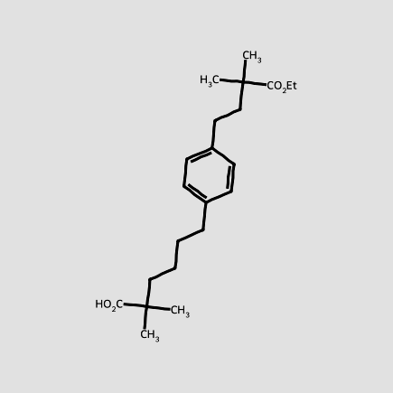 CCOC(=O)C(C)(C)CCc1ccc(CCCCC(C)(C)C(=O)O)cc1